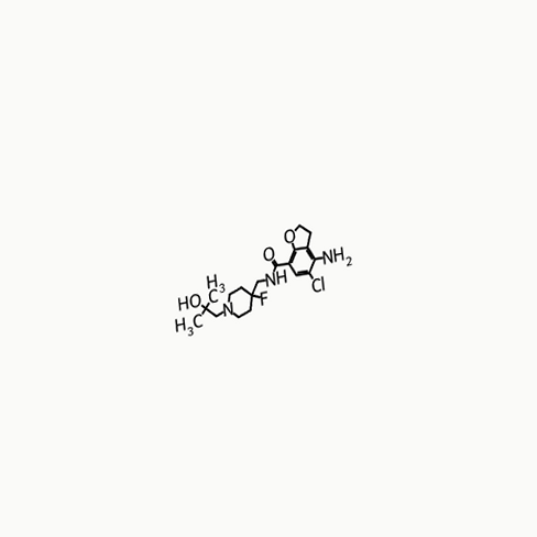 CC(C)(O)CN1CCC(F)(CNC(=O)c2cc(Cl)c(N)c3c2OCC3)CC1